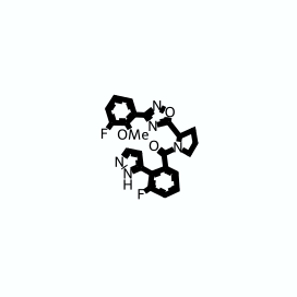 COc1c(F)cccc1-c1noc(C2CCCN2C(=O)c2cccc(F)c2-c2ccn[nH]2)n1